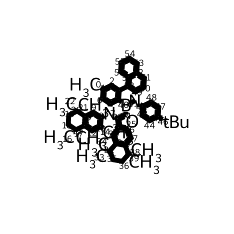 Cc1cc2c3c(c1)N(c1cc4c(cc1C)C(C)(C)CCC4(C)C)c1c(oc4cc5c(cc14)C(C)(C)CCC5(C)C)B3N(c1ccc(C(C)(C)C)cc1)c1ccc3ccccc3c1-2